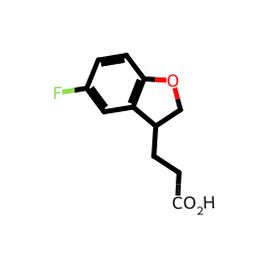 O=C(O)CCC1COc2ccc(F)cc21